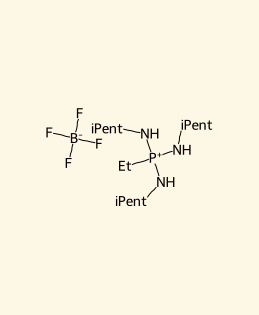 CCCC(C)N[P+](CC)(NC(C)CCC)NC(C)CCC.F[B-](F)(F)F